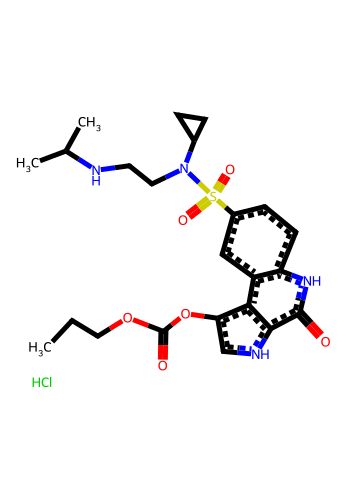 CCCOC(=O)Oc1c[nH]c2c(=O)[nH]c3ccc(S(=O)(=O)N(CCNC(C)C)C4CC4)cc3c12.Cl